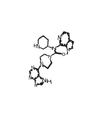 Cn1ccc2ccnc(N(C(=O)N3CCN(c4ncnc5nc[nH]c45)CC3)[C@@H]3CCCNC3)c21